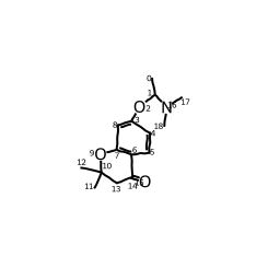 CC(Oc1ccc2c(c1)OC(C)(C)CC2=O)N(C)C